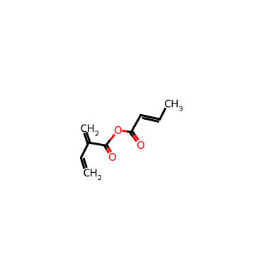 C=CC(=C)C(=O)OC(=O)C=CC